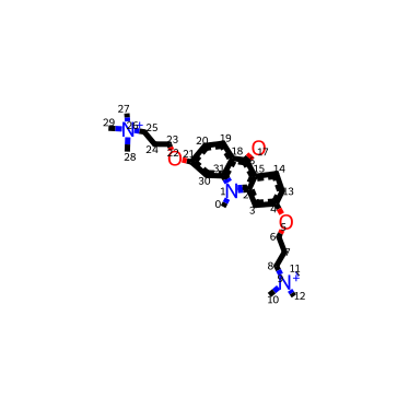 Cn1c2cc(OCCC[N+](C)(C)C)ccc2c(=O)c2ccc(OCCC[N+](C)(C)C)cc21